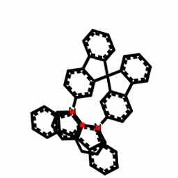 C1=Cc2c(c3ccccc3n2-c2ccc3c(c2)C2(c4ccccc4-3)c3ccccc3-c3ccc(-n4c5ccccc5c5ccccc54)cc32)CC1